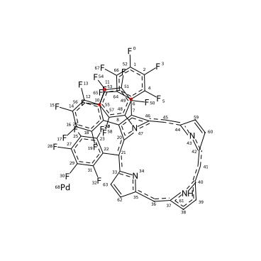 Fc1c(F)c(F)c(-c2c(-c3c(F)c(F)c(F)c(F)c3F)c3c(-c4c(F)c(F)c(F)c(F)c4F)c4nc(cc5ccc(cc6nc(cc2n3-c2c(F)c(F)c(F)c(F)c2F)C=C6)[nH]5)C=C4)c(F)c1F.[Pd]